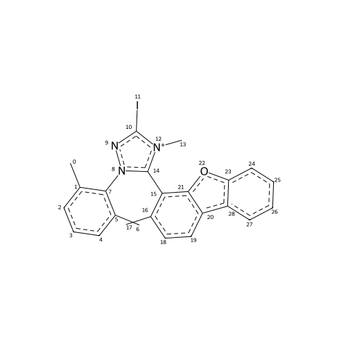 Cc1cccc(C)c1-n1nc(I)[n+](C)c1-c1c(C)ccc2c1oc1ccccc12